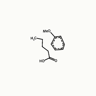 CCCCC(=O)O.COc1ccccc1